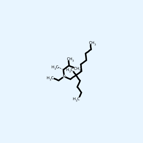 CCCCCCC(C)(CCCC)CN(CC)[C@H](C)C(C)C